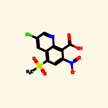 CS(=O)(=O)c1cc([N+](=O)[O-])c(C(=O)O)c2ncc(Cl)cc12